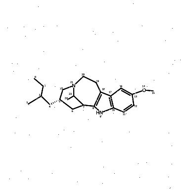 CCC(C)C[C@H]1CC2c3[nH]c4ccc(OC)cc4c3CCN(C1)C2C